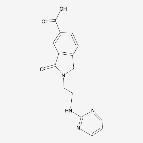 O=C(O)c1ccc2c(c1)C(=O)N(CCNc1ncccn1)C2